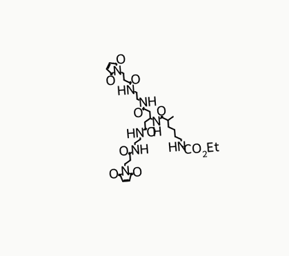 CCOC(=O)NCCCCC(C)C(=O)NC(CC(=O)NCCNC(=O)CCN1C(=O)C=CC1=O)CC(=O)NCCNC(=O)CCN1C(=O)C=CC1=O